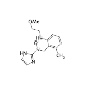 COCCNc1cccc(C)c1C[S+]([O-])c1ncc[nH]1